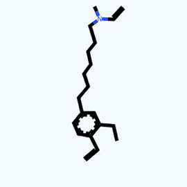 C=Cc1ccc(CCCCCCCN(C)C=C)cc1CC